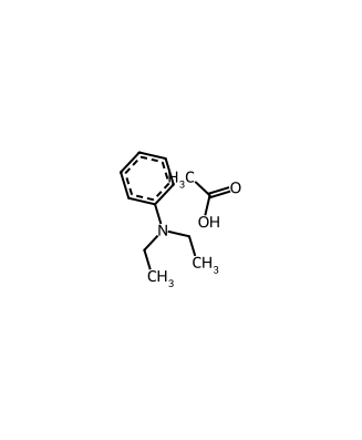 CC(=O)O.CCN(CC)c1ccccc1